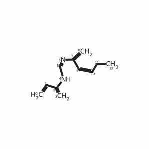 C=CC(=C)N/C=N\C(=C)/C=C\CC